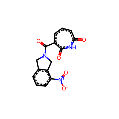 O=C(c1cccc(=O)[nH]c1=O)N1Cc2cccc([N+](=O)[O-])c2C1